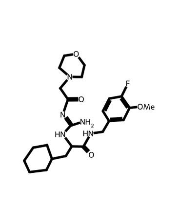 COc1cc(CNC(=O)C(CC2CCCCC2)NC(N)=NC(=O)CN2CCOCC2)ccc1F